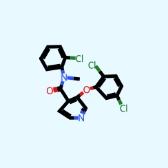 CN(C(=O)c1ccncc1Oc1cc(Cl)ccc1Cl)c1ccccc1Cl